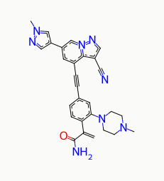 C=C(C(N)=O)c1ccc(C#Cc2cc(-c3cnn(C)c3)cn3ncc(C#N)c23)cc1N1CCN(C)CC1